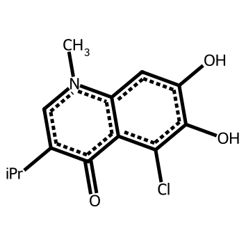 CC(C)c1cn(C)c2cc(O)c(O)c(Cl)c2c1=O